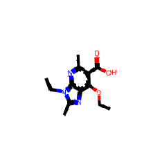 CCOc1c(C(=O)O)c(C)nc2c1nc(C)n2CC